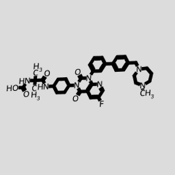 CN1CCCN(Cc2ccc(-c3cccc(-n4c(=O)n(C5CCC(NC(=O)C(C)(C)NC(=O)O)CC5)c(=O)c5cc(F)cnc54)c3)cc2)CC1